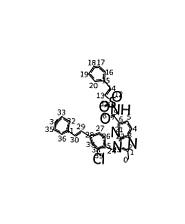 Cc1nc2ccc(C(=O)NS(=O)(=O)/C=C/c3ccccc3)nc2n1Cc1ccc(/C=C/c2ccccc2)cc1Cl